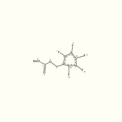 COS(=O)OCc1c(F)c(F)c(F)c(F)c1F